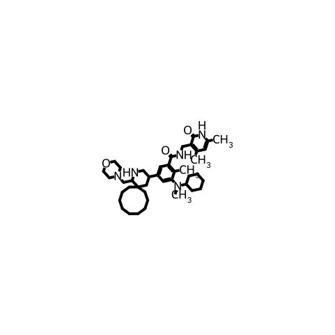 Cc1cc(C)c(CNC(=O)c2cc(C3CNC(CN4CCOCC4)C4(CCCCCCCCC4)C3)cc(N(C)C3CCCCC3)c2C)c(=O)[nH]1